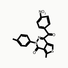 Cc1ccc(-n2nc(C(=O)c3ccc([N+](=O)[O-])cc3)c3csc(C)c3c2=O)cc1